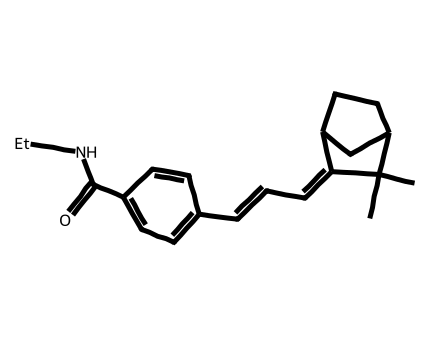 CCNC(=O)c1ccc(C=CC=C2C3CCC(C3)C2(C)C)cc1